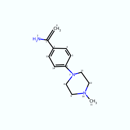 C=C(N)c1ccc(N2CCN(C)CC2)cc1